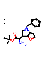 CC(C)(C)OC(=O)C(N)C1CN(Cc2ccccc2)C2CCOC12